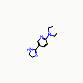 CCN(CC)c1ccc(C2=NCCN2)cn1